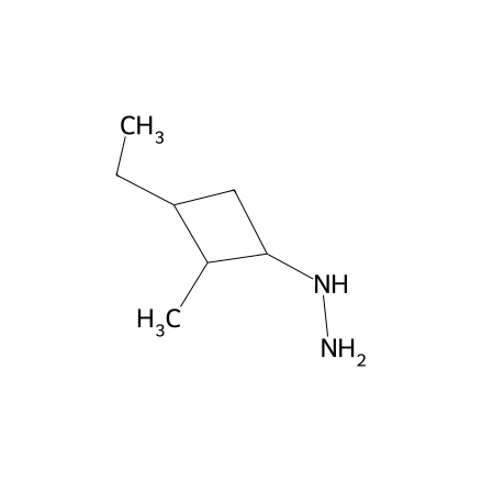 CCC1CC(NN)C1C